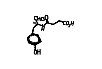 O=C[C@H](Cc1ccc(O)cc1)NC(=O)CCC(=O)O